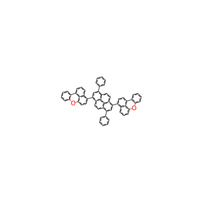 c1ccc(-c2cc(-c3ccc4c5c(cccc35)-c3ccccc3O4)c3ccc4c(-c5ccccc5)cc(-c5ccc6c7c(cccc57)Oc5ccccc5-6)c5ccc2c3c45)cc1